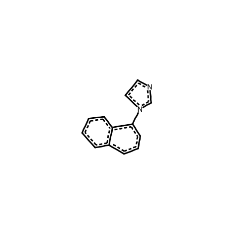 c1ccc2c(-n3ccnc3)cccc2c1